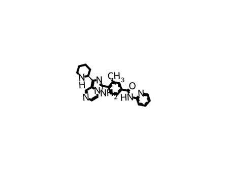 Cc1cc(C(=O)Nc2ccccn2)ccc1C1=NC([C@@H]2CCCCN2)=C2C=NC=C[N+]12N